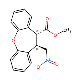 COC(=O)[C@H]1c2ccccc2Oc2ccccc2[C@@H]1C[N+](=O)[O-]